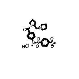 CN(c1ccc(C(=O)N2CCCC2CN2CCCC2)cc1)S(=O)(=O)c1ccc(S(C)(=O)=O)cc1.Cl